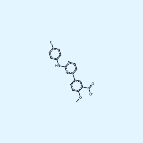 COc1ccc(-c2ccnc(Nc3ccc(F)cc3)n2)cc1[N+](=O)[O-]